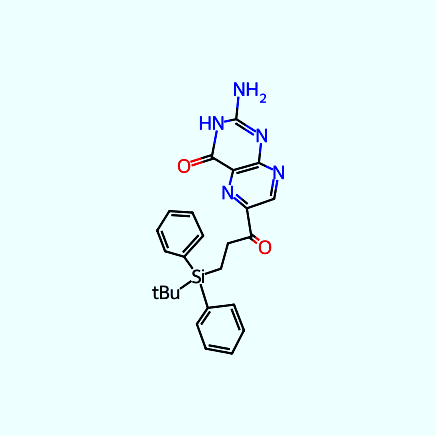 CC(C)(C)[Si](CCC(=O)c1cnc2nc(N)[nH]c(=O)c2n1)(c1ccccc1)c1ccccc1